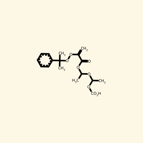 C=C(OOC(C)(C)c1ccccc1)C(=O)OC(C)OC(C)OC(=O)O